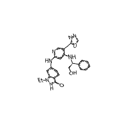 CCn1[nH]c(=O)c2ccc(Nc3cc(N[C@H](CO)c4ccccc4)c(-c4nnco4)cn3)cc21